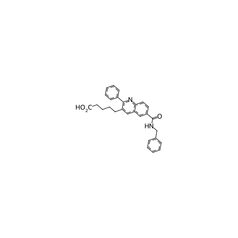 O=C(O)CCCCc1cc2cc(C(=O)NCc3ccccc3)ccc2nc1-c1ccccc1